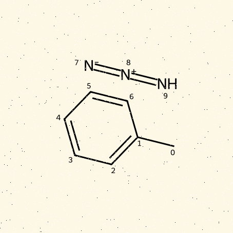 Cc1ccccc1.[N-]=[N+]=N